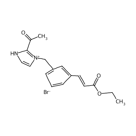 CCOC(=O)C=Cc1cccc(C[n+]2cc[nH]c2C(C)=O)c1.[Br-]